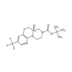 CC(C)(C)OC(=O)N1CCN2c3ncc(C(F)(F)F)cc3SC[C@@H]2C1